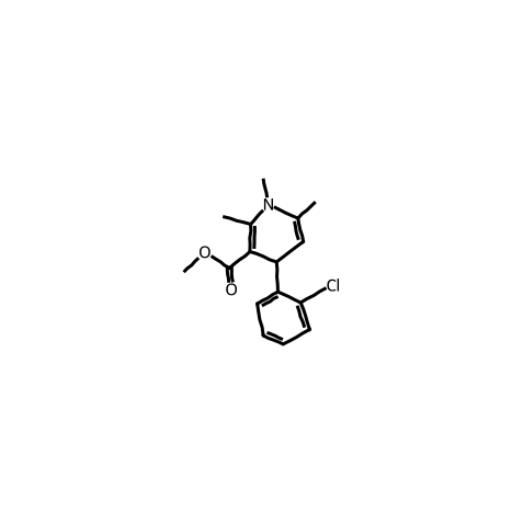 COC(=O)C1=C(C)N(C)C(C)=CC1c1ccccc1Cl